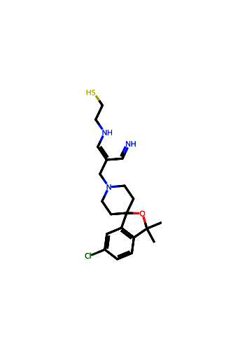 CC1(C)OC2(CCN(C/C(C=N)=C/NCCS)CC2)c2cc(Cl)ccc21